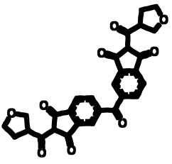 O=C(c1ccc2c(c1)C(=O)C(C(=O)C1CCOC1)C2=O)c1ccc2c(c1)C(=O)C(C(=O)C1CCOC1)C2=O